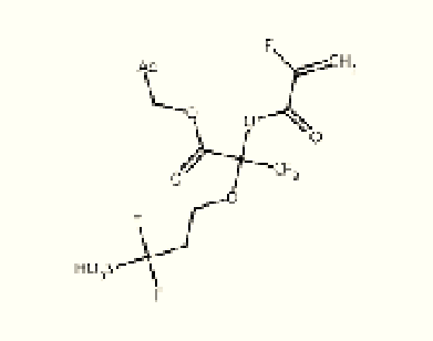 C=C(F)C(=O)OC(OCCC(F)(F)S(=O)(=O)O)(C(=O)OCC(C)=O)C(F)(F)F